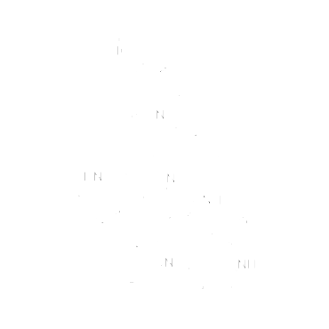 O=c1[nH]ccc2nc(-c3c(F)ccc4c3CCNC4)cc(Nc3ccc(N4CCC(O)CC4)cn3)c12